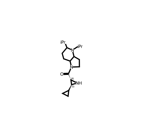 CC(C)C1CCC2C(CCN2C(=O)[C@@H]2N[C@H]2C2CC2)N1C(C)C